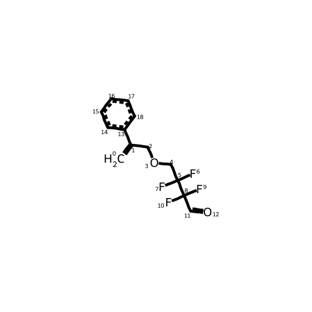 C=C(COCC(F)(F)C(F)(F)C=O)c1ccccc1